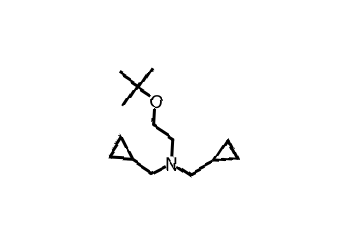 CC(C)(C)OCCN(CC1CC1)CC1CC1